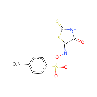 O=C1NC(=S)SC1=NOS(=O)(=O)c1ccc([N+](=O)[O-])cc1